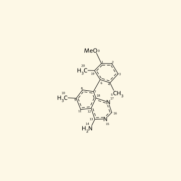 COc1ccc(C)c(-c2cc(C)cc3c(N)ncnc23)c1C